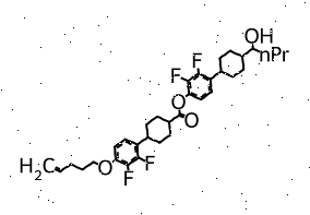 C=CCCCOc1ccc(C2CCC(C(=O)Oc3ccc(C4CCC(C(O)CCC)CC4)c(F)c3F)CC2)c(F)c1F